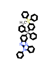 CS(c1ccccc1)(c1ccccc1)c1cccc([Si](c2ccccc2)(c2ccccc2)c2ccc3nc4n(-c5ccccc5)c5ccccc5n4c3c2)c1